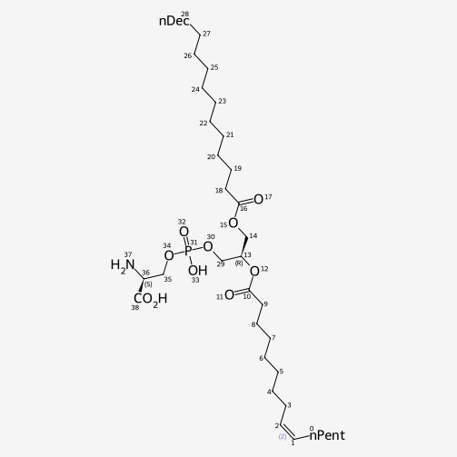 CCCCC/C=C\CCCCCCCC(=O)O[C@H](COC(=O)CCCCCCCCCCCCCCCCCCCC)COP(=O)(O)OC[C@H](N)C(=O)O